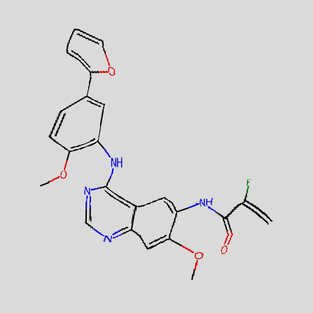 C=C(F)C(=O)Nc1cc2c(Nc3cc(-c4ccco4)ccc3OC)ncnc2cc1OC